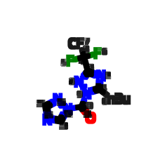 CCCCc1nc(C(F)(F)C(F)(F)F)nn1C(=O)n1cncn1